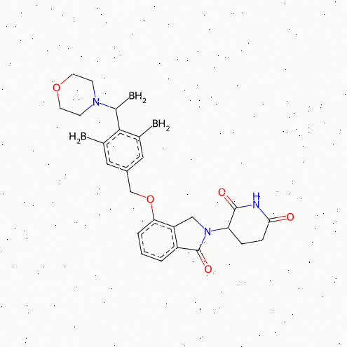 Bc1cc(COc2cccc3c2CN(C2CCC(=O)NC2=O)C3=O)cc(B)c1C(B)N1CCOCC1